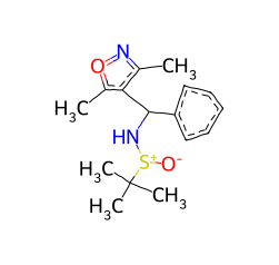 Cc1noc(C)c1C(N[S+]([O-])C(C)(C)C)c1ccccc1